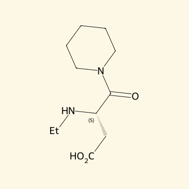 CCN[C@@H](CC(=O)O)C(=O)N1CCCCC1